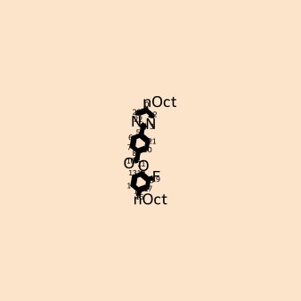 CCCCCCCCc1cnc(-c2ccc(C(=O)Oc3ccc(CCCCCCCC)cc3F)cc2)nc1